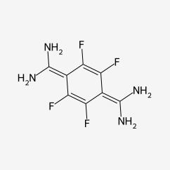 NC(N)=c1c(F)c(F)c(=C(N)N)c(F)c1F